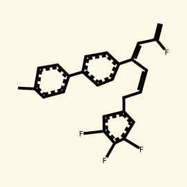 C=C(F)/C=C(\C=C/Cc1cc(F)c(F)c(F)c1)c1ccc(-c2ccc(C)cc2)cc1